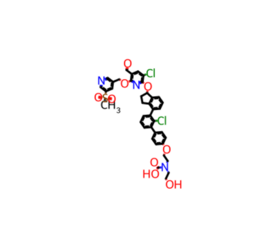 CS(=O)(=O)c1cncc(COc2nc(OC3CCc4c(-c5cccc(-c6ccc(OCCN(CCO)C(=O)O)cc6)c5Cl)cccc43)c(Cl)cc2C=O)c1